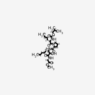 C=CCCC[C@H](NC(=O)[C@@H]1CCCN1C(=O)[C@H](CCC=C)NC(=O)OCC(C)C)C(O)C(=O)NCC(=O)OC